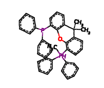 CC1(C)c2cccc(P(c3ccccc3)c3ccccc3)c2Oc2c1cccc2[PH](C)(c1ccccc1)c1ccccc1